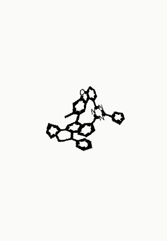 Cc1cc2oc3cccc(-c4nc(-c5ccccc5)nc(-c5ccccc5)n4)c3c2cc1-c1ccc2c(c1)-c1ccccc1CCC2c1ccccc1